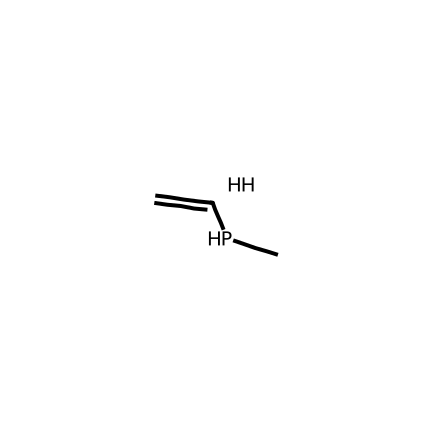 C=CPC.[HH]